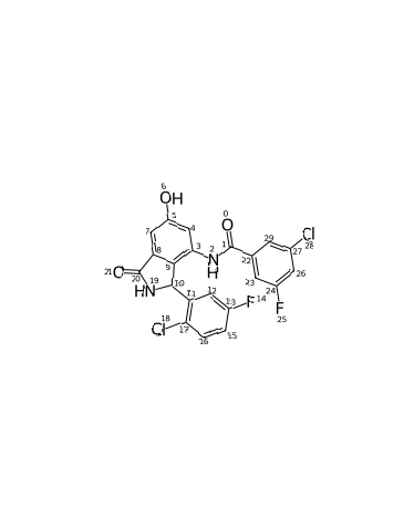 O=C(Nc1cc(O)cc2c1C(c1cc(F)ccc1Cl)NC2=O)c1cc(F)cc(Cl)c1